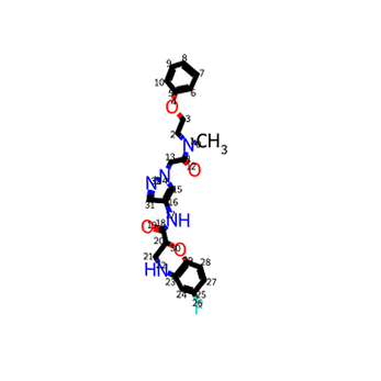 CN(CCOc1ccccc1)C(=O)Cn1cc(NC(=O)C2CNc3cc(F)ccc3O2)cn1